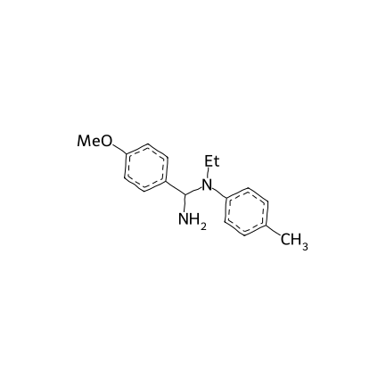 CCN(c1ccc(C)cc1)C(N)c1ccc(OC)cc1